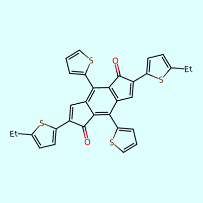 CCc1ccc(-c2cc3c(-c4cccs4)c4c(=O)c(-c5ccc(CC)s5)cc4c(-c4cccs4)c3c2=O)s1